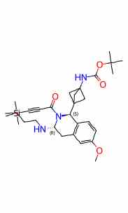 CCCCN[C@H]1Cc2cc(OC)ccc2[C@H](C23CC(NC(=O)OC(C)(C)C)(C2)C3)N1C(=O)C#C[Si](C)(C)C